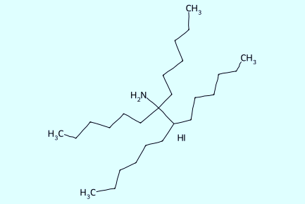 CCCCCCC(CCCCCC)C(N)(CCCCCC)CCCCCC.I